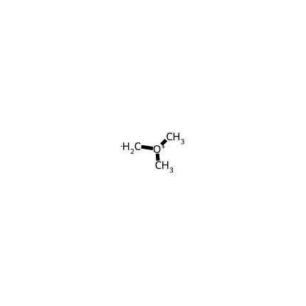 [CH2][O+](C)C